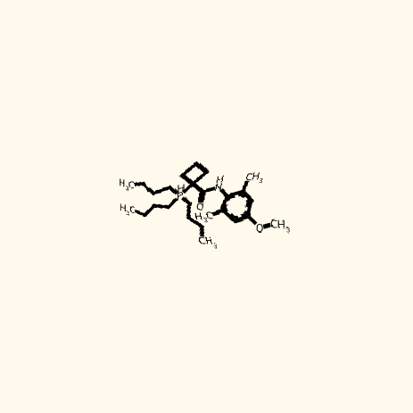 CCCC[PH](CCCC)(CCCC)C1(C(=O)Nc2c(C)cc(OC)cc2C)CCC1